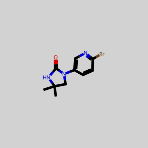 CC1(C)CN(c2ccc(Br)nc2)C(=O)N1